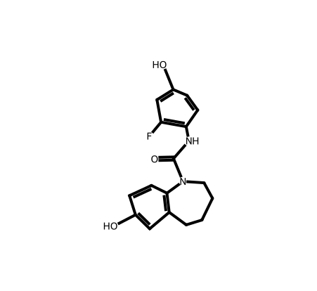 O=C(Nc1ccc(O)cc1F)N1CCCCc2cc(O)ccc21